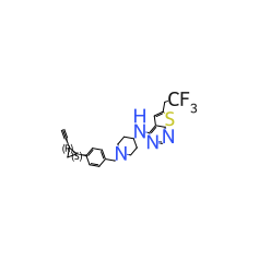 C#C[C@@H]1C[C@@H]1c1ccc(CN2CCC(Nc3ncnc4sc(CC(F)(F)F)cc34)CC2)cc1